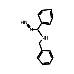 N=NC(NCc1ccccc1)c1ccccc1